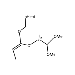 C/C=C(/OCCCCCCCC)O[SiH2]C(OC)OC